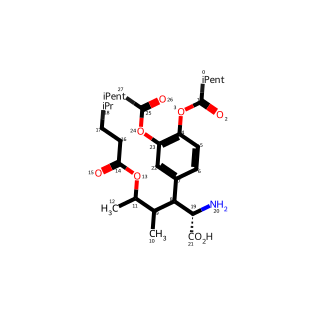 CCCC(C)C(=O)Oc1ccc(C(C(C)C(C)OC(=O)CCC(C)C)[C@H](N)C(=O)O)cc1OC(=O)C(C)CCC